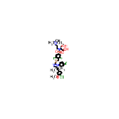 COc1cc(C(C)(C)c2cnc(SCc3c(F)cc(S(=O)(=O)N(CCC[N+](C)(C)C)[C@@H](CO)C(=O)O)cc3F)n2-c2ccc(F)cc2)ccc1Cl